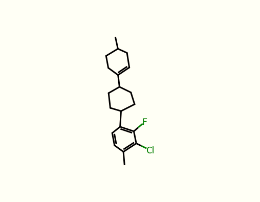 Cc1ccc(C2CCC(C3=CCC(C)CC3)CC2)c(F)c1Cl